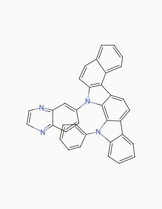 c1ccc(-n2c3ccccc3c3ccc4c5c6ccccc6ccc5n(-c5ccc6nccnc6c5)c4c32)cc1